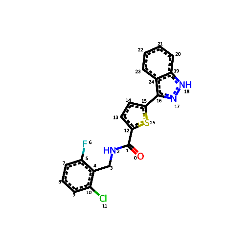 O=C(NCc1c(F)cccc1Cl)c1ccc(-c2n[nH]c3ccccc23)s1